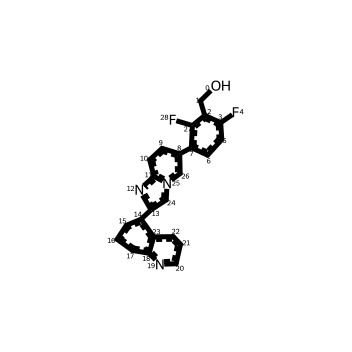 OCc1c(F)ccc(-c2ccc3nc(-c4cccc5ncccc45)cn3c2)c1F